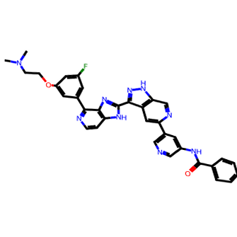 CN(C)CCOc1cc(F)cc(-c2nccc3[nH]c(-c4n[nH]c5cnc(-c6cncc(NC(=O)c7ccccc7)c6)cc45)nc23)c1